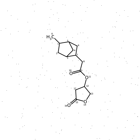 CC1CC2CC1CC2CC(=O)OC1COC(=O)C1